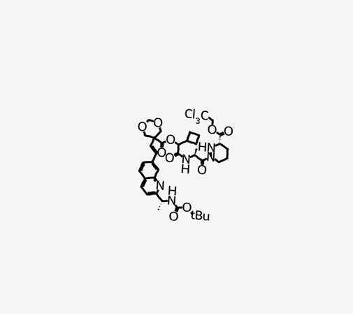 C[C@H](NC(=O)C(OC(=O)C1(/C=C/c2ccc3ccc([C@@H](C)NC(=O)OC(C)(C)C)nc3c2)COCOC1)C1CCC1)C(=O)N1CCC[C@@H](C(=O)OCC(Cl)(Cl)Cl)N1